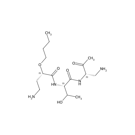 CCCCO[C@@H](CCN)C(=O)N[C@H](C(=O)N[C@@H](CN)C(C)=O)C(C)O